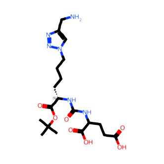 CC(C)(C)OC(=O)[C@H](CCCCn1cc(CN)nn1)NC(=O)NC(CCC(=O)O)C(=O)O